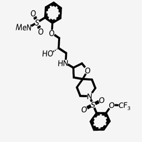 CNS(=O)(=O)c1ccccc1OC[C@@H](O)CNC1COC2(CCN(S(=O)(=O)c3ccccc3OC(F)(F)F)CC2)C1